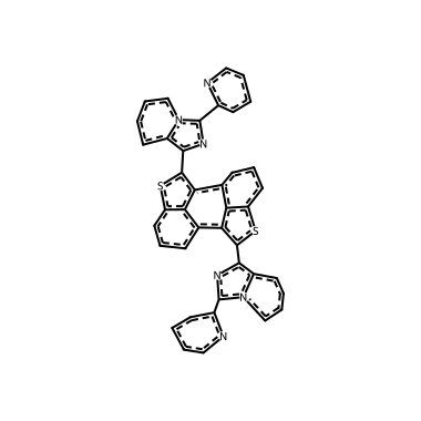 c1ccc(-c2nc(-c3sc4cccc5c6c(-c7nc(-c8ccccn8)n8ccccc78)sc7cccc(c3c45)c76)c3ccccn23)nc1